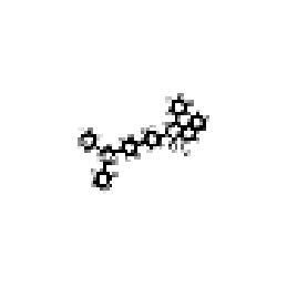 C=C1c2ccc3ccccc3c2C(c2ccccc2)=CC1c1ccc(-c2ccc(-c3cc(-c4cccnc4)nc(-c4cccnc4)n3)cc2)cc1